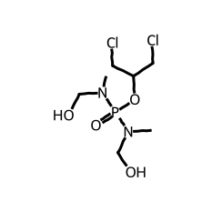 CN(CO)P(=O)(OC(CCl)CCl)N(C)CO